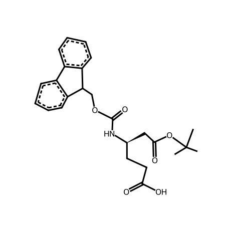 CC(C)(C)OC(=O)C[C@@H](CCC(=O)O)NC(=O)OCC1c2ccccc2-c2ccccc21